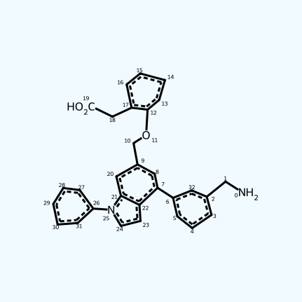 NCc1cccc(-c2cc(COc3ccccc3CC(=O)O)cc3c2ccn3-c2ccccc2)c1